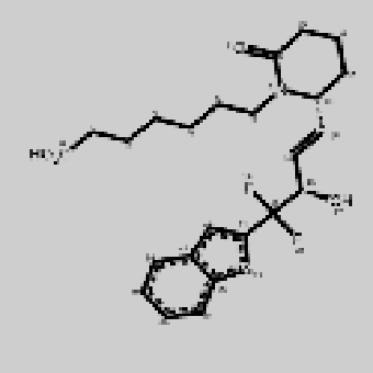 O=C(O)CCCCCCN1C(=O)CCC[C@@H]1/C=C/[C@@H](O)C(F)(F)c1cc2ccccc2s1